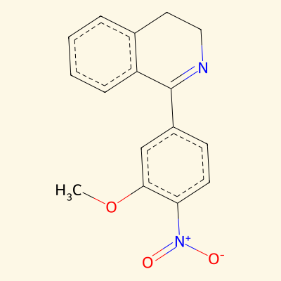 COc1cc(C2=NCCc3ccccc32)ccc1[N+](=O)[O-]